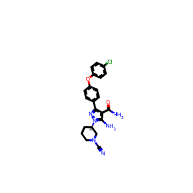 N#CN1CCC[C@@H](n2nc(-c3ccc(Oc4ccc(Cl)cc4)cc3)c(C(N)=O)c2N)C1